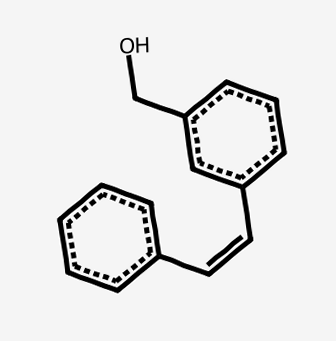 OCc1cccc(/C=C\c2ccccc2)c1